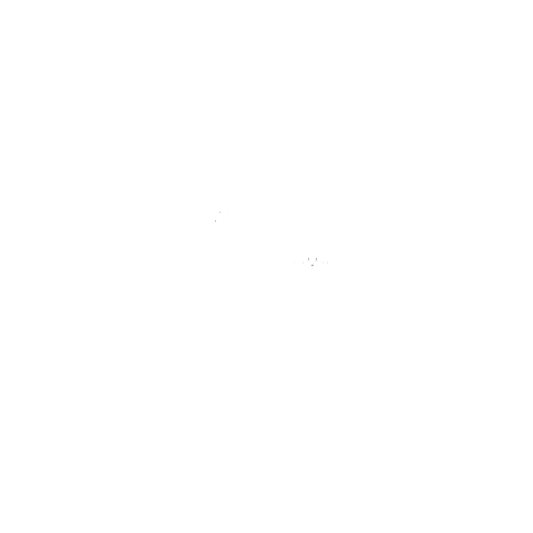 [CH2]c1cccc(OC)c1.[Zn]